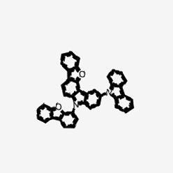 c1ccc2c(c1)oc1c(-n3c4ccc(-n5c6ccccc6c6ccccc65)cc4c4c5oc6ccccc6c5ccc43)cccc12